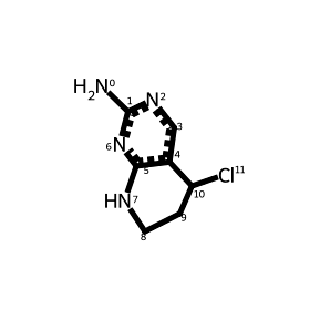 Nc1ncc2c(n1)NCCC2Cl